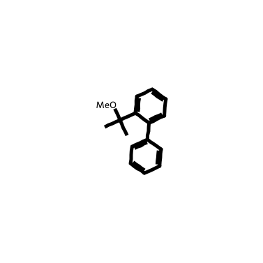 COC(C)(C)c1ccccc1-c1ccccc1